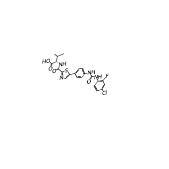 CC(C)[C@H](NC(=O)c1ncc(-c2ccc(NC(=O)Nc3ccc(Cl)cc3F)cc2)s1)C(=O)O